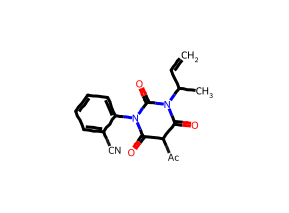 C=CC(C)N1C(=O)C(C(C)=O)C(=O)N(c2ccccc2C#N)C1=O